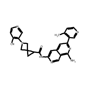 Cc1ccncc1-c1cc2cc(NC(=O)C3CC34CN(c3cnccc3C#N)C4)ncc2c(N)n1